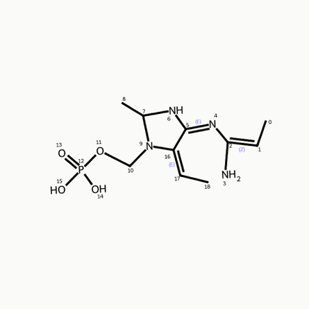 C\C=C(N)/N=C1/NC(C)N(COP(=O)(O)O)/C1=C/C